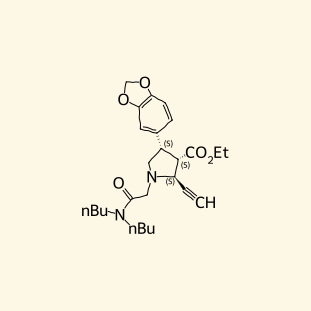 C#C[C@@H]1[C@@H](C(=O)OCC)[C@@H](c2ccc3c(c2)OCO3)CN1CC(=O)N(CCCC)CCCC